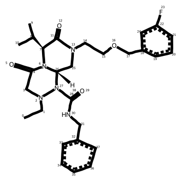 CCN1CC(=O)N2[C@@H](C(C)C)C(=O)N(CCOCc3cccc(F)c3)C[C@@H]2N1C(=O)NCc1ccccc1